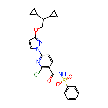 O=C(NS(=O)(=O)c1ccccc1)c1ccc(-n2ccc(OCC(C3CC3)C3CC3)n2)nc1Cl